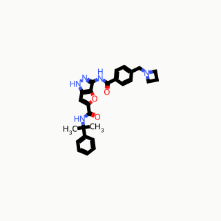 CC(C)(NC(=O)c1cc2[nH]nc(NC(=O)c3ccc(CN4CCC4)cc3)c2o1)c1ccccc1